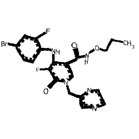 CCCONC(=O)c1cn(Cc2cnccn2)c(=O)c(F)c1Nc1ccc(Br)cc1F